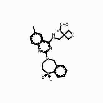 Cc1ccc2nc(N3CCS(=O)(=O)c4ccccc4C3)nc(NCC3(NC=O)COC3)c2c1